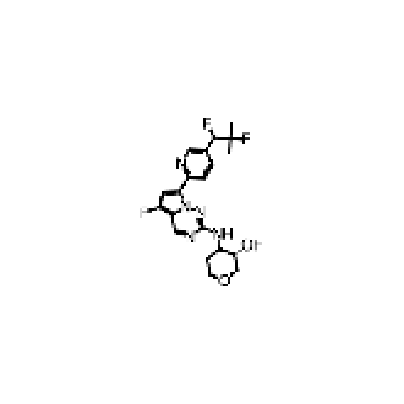 CC(C)(F)C(F)c1ccc(-c2cc(F)c3cnc(N[C@@H]4CCOC[C@H]4O)nn23)nc1